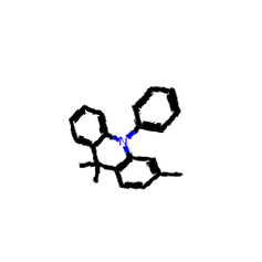 Cc1ccc2c(c1)N(c1ccccc1)c1ccccc1C2(C)C